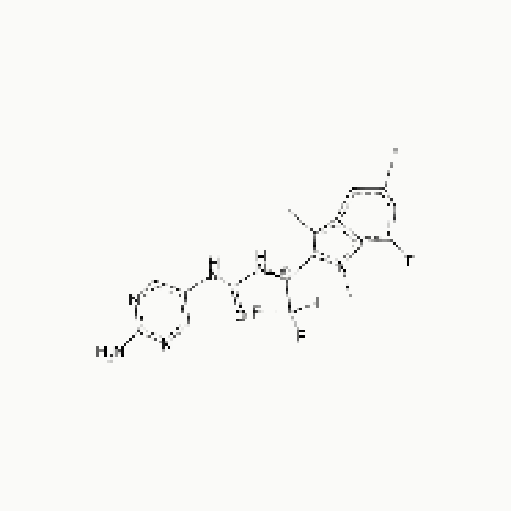 Cc1c([C@H](NC(=O)Nc2cnc(N)nc2)C(F)(F)F)n(C)c2c(F)cc(F)cc12